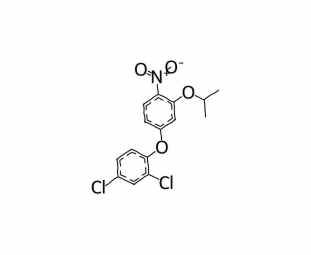 CC(C)Oc1cc(Oc2ccc(Cl)cc2Cl)ccc1[N+](=O)[O-]